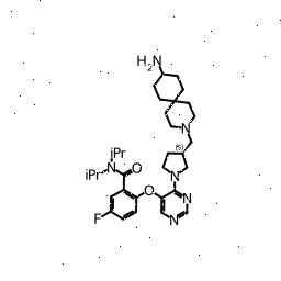 CC(C)N(C(=O)c1cc(F)ccc1Oc1cncnc1N1CC[C@@H](CN2CCC3(CCC(N)CC3)CC2)C1)C(C)C